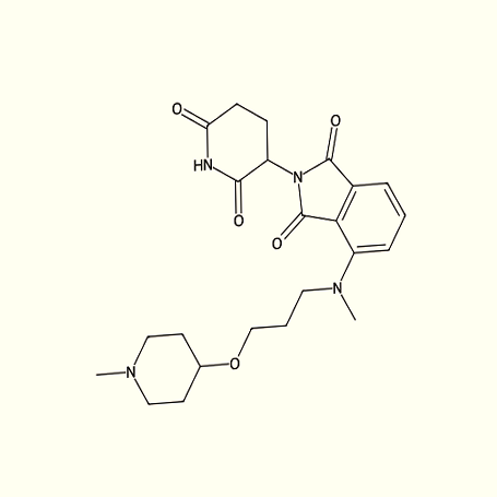 CN1CCC(OCCCN(C)c2cccc3c2C(=O)N(C2CCC(=O)NC2=O)C3=O)CC1